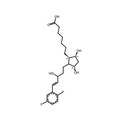 O=C(O)CCCCCC[C@@H]1C(CCC(O)/C=C/c2cc(F)ccc2F)[C@H](O)C[C@@H]1O